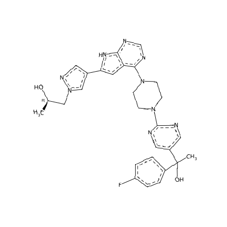 C[C@@H](O)Cn1cc(-c2cc3c(N4CCN(c5ncc(C(C)(O)c6ccc(F)cc6)cn5)CC4)ncnc3[nH]2)cn1